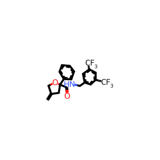 C=C1COC(C(=O)NCc2cc(C(F)(F)F)cc(C(F)(F)F)c2)(c2ccccc2)C1